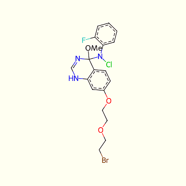 COC1(N(Cl)c2ccccc2F)N=CNc2cc(OCCOCCBr)ccc21